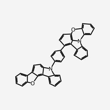 c1ccc2c(c1)Oc1ccc(-c3ccc(-n4c5ccccc5c5c6oc7ccccc7c6ccc54)cc3)c3c4ccccc4n-2c13